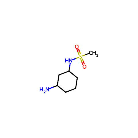 CS(=O)(=O)NC1CCCC(N)C1